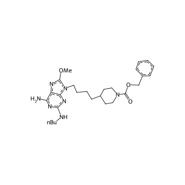 CCCCNc1nc(N)c2nc(OC)n(CCCCC3CCN(C(=O)OCc4ccccc4)CC3)c2n1